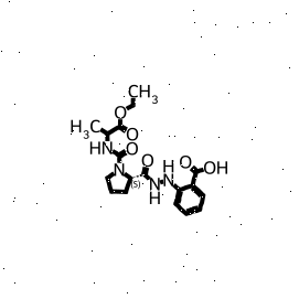 CCOC(=O)C(C)NC(=O)N1CCC[C@H]1C(=O)NNc1ccccc1C(=O)O